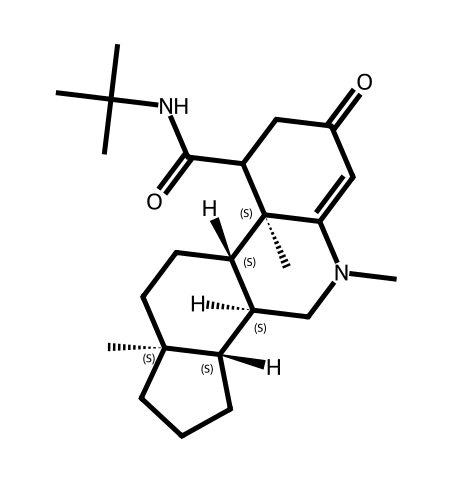 CN1C[C@H]2[C@@H]3CCC[C@@]3(C)CC[C@@H]2[C@]2(C)C1=CC(=O)CC2C(=O)NC(C)(C)C